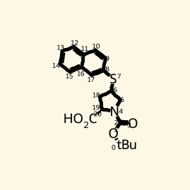 CC(C)(C)OC(=O)N1CC(Sc2ccc3ccccc3c2)C[C@@H]1C(=O)O